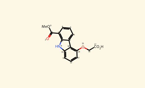 COC(=O)c1cccc2c1[nH]c1cccc(OCC(=O)O)c12